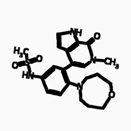 Cn1cc(-c2cc(NS(C)(=O)=O)ccc2N2CCCOCCC2)c2cc[nH]c2c1=O